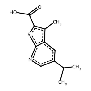 Cc1c(C(=O)O)sc2ncc(C(C)C)cc12